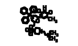 CC1=CN(C2CN(C(c3ccccc3)(c3ccccc3)c3ccccc3)CC(COP(=O)(Cl)N3CCN(CCN(C)C)CC3)O2)C(O)NC1=O